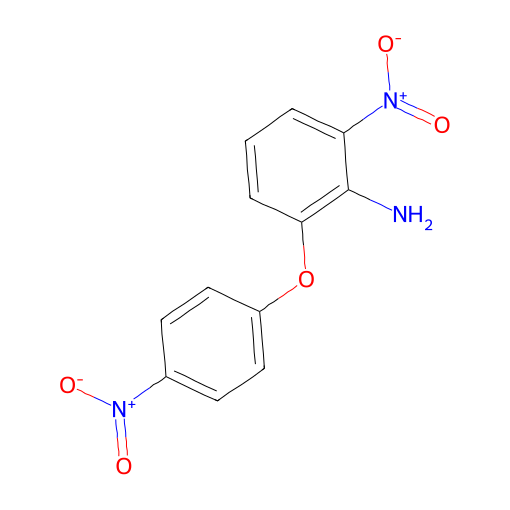 Nc1c(Oc2ccc([N+](=O)[O-])cc2)cccc1[N+](=O)[O-]